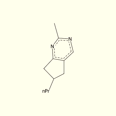 CCCC1Cc2cnc(C)nc2C1